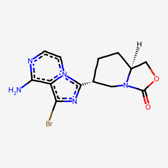 Nc1nccn2c([C@@H]3CC[C@H]4COC(=O)N4C3)nc(Br)c12